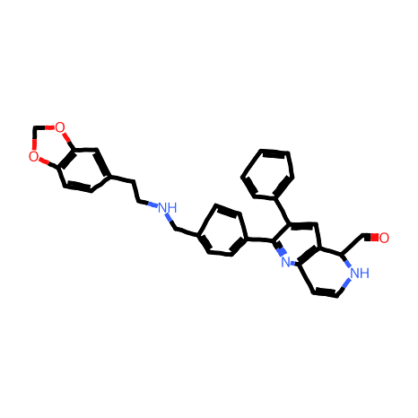 O=CC1NC=Cc2nc(-c3ccc(CNCCc4ccc5c(c4)OCO5)cc3)c(-c3ccccc3)cc21